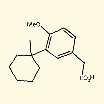 COc1ccc(CC(=O)O)cc1C1(C)CCCCC1